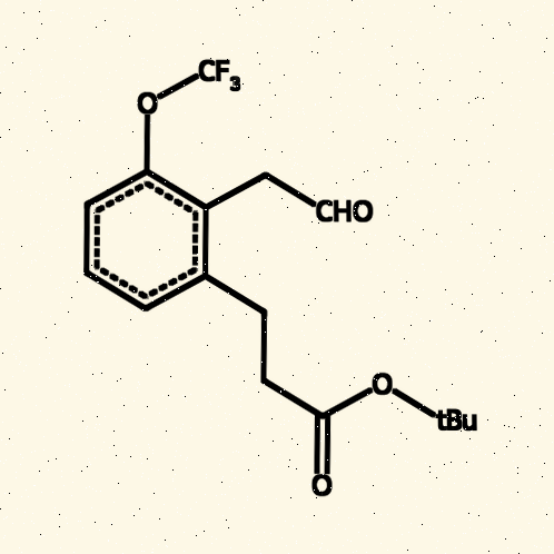 CC(C)(C)OC(=O)CCc1cccc(OC(F)(F)F)c1CC=O